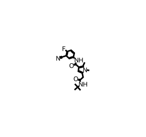 Cc1c(C(=O)Nc2ccc(F)c(C#N)c2)cc(CC(=O)NC(C)(C)C)n1C